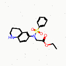 CCOC(=O)CN(c1ccc2c(c1)CCCN2)S(=O)(=O)c1ccccc1